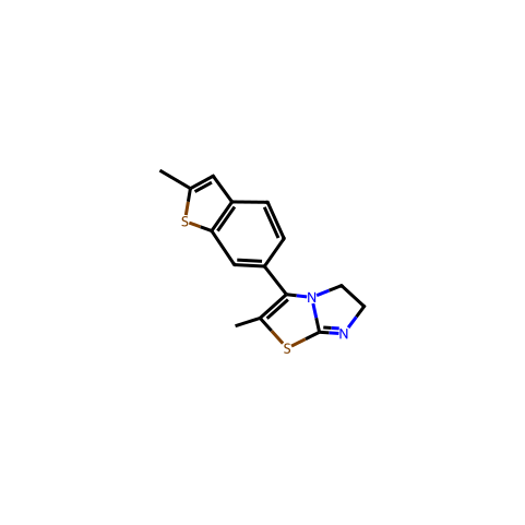 CC1=C(c2ccc3cc(C)sc3c2)N2CCN=C2S1